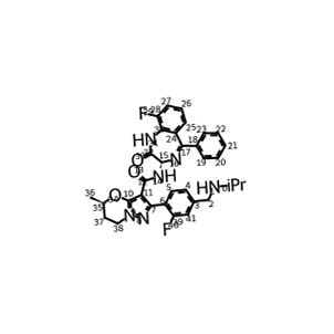 CC(C)NCc1ccc(-c2nn3c(c2C(=O)N[C@H]2N=C(c4ccccc4)c4cccc(F)c4NC2=O)O[C@H](C)CC3)c(F)c1